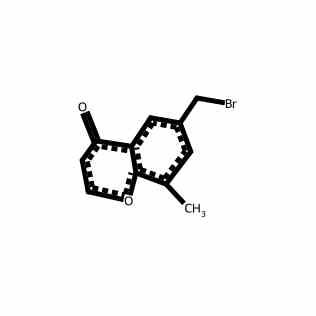 Cc1cc(CBr)cc2c(=O)ccoc12